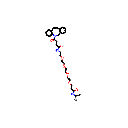 CC(=O)[C@@H](NC(=O)CCOCCOCCOCCOCCNC(=O)CCC(=O)N1Cc2ccccc2/C=C\c2ccccc21)C(C)C